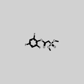 COP(=O)(CC(=O)Oc1c(F)cc(F)cc1F)OC